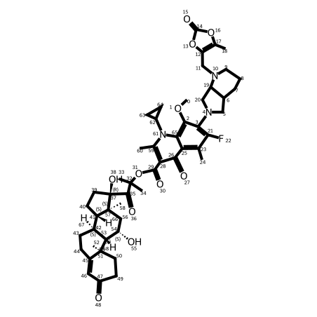 COc1c(N2CC3CCCN(Cc4oc(=O)oc4C)C3C2)c(F)c(C)c2c(=O)c(C(=O)OC(C)(C)C(=O)[C@@]3(O)CC[C@H]4[C@@H]5CCC6=CC(=O)CC[C@]6(C)[C@H]5[C@@H](O)C[C@@]43C)c(C)n(C3CC3)c12